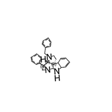 C1=CC2NC3N4C[C@]4(c4ccccc4)[C@@H]4N(Cc5ccccc5)CC[C@]34C2C=C1